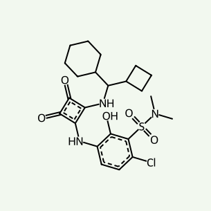 CN(C)S(=O)(=O)c1c(Cl)ccc(Nc2c(NC(C3CCCCC3)C3CCC3)c(=O)c2=O)c1O